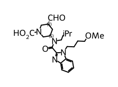 COCCCCn1c(C(=O)N(CC(C)C)[C@H]2C[C@@H](C=O)CN(C(=O)O)C2)nc2ccccc21